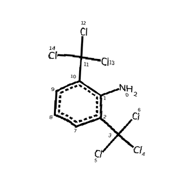 Nc1c(C(Cl)(Cl)Cl)cccc1C(Cl)(Cl)Cl